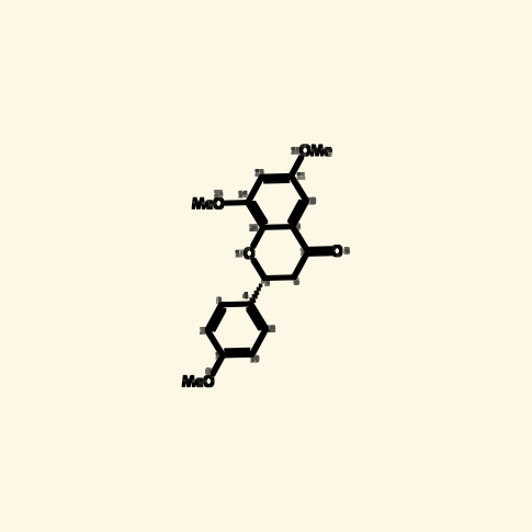 COc1ccc([C@H]2CC(=O)c3cc(OC)cc(OC)c3O2)cc1